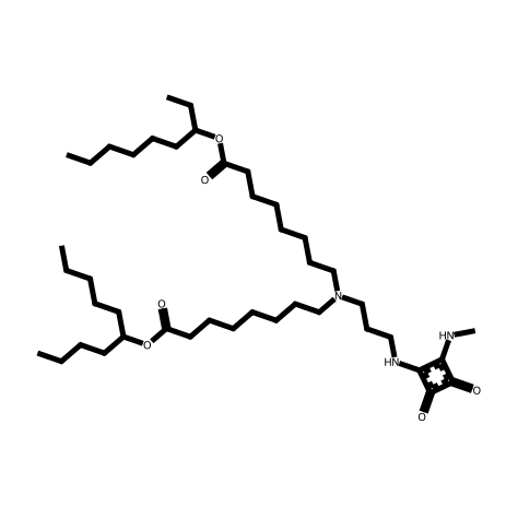 CCCCCCC(CC)OC(=O)CCCCCCCN(CCCCCCCC(=O)OC(CCCC)CCCCC)CCCNc1c(NC)c(=O)c1=O